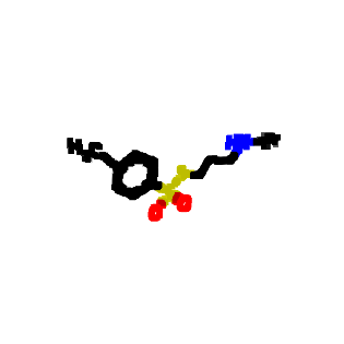 Cc1ccc(S(=O)(=O)SCCCNC(C)C)cc1